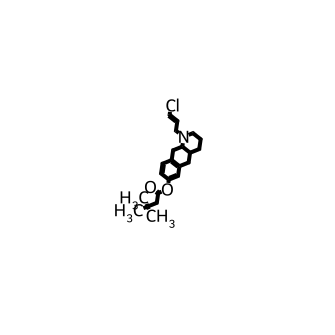 CC(C)(C)CC(=O)Oc1ccc2c(c1)CC1CCCN(C/C=C/Cl)C1C2